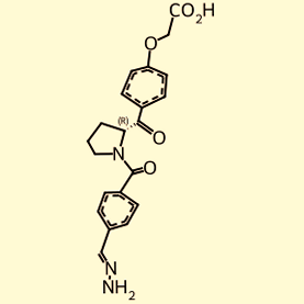 NN=Cc1ccc(C(=O)N2CCC[C@@H]2C(=O)c2ccc(OCC(=O)O)cc2)cc1